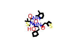 Cc1ccccc1CNC(=O)[C@H]1N(C(=O)[C@@H](O)[C@H](Cc2ccccc2)NC(=O)Cc2ccsc2)CSC1(C)C